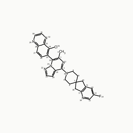 Cc1nc(N2CCC3(CC2)Cc2cc(F)cnc2C3)c2ccnn2c1-c1ccc2nccnc2c1Cl